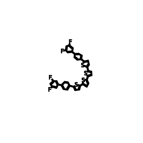 Fc1cc(F)cc(-c2ccc(-c3ccc(-c4ccc(-c5ccc(-c6ccc(-c7ccc(-c8cc(F)cc(F)c8)cc7)s6)s5)s4)s3)cc2)c1